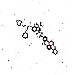 O=C(NS(=O)(=O)c1ccc(N[C@H](CCN2CCOCC2)CSc2ccccc2)c(Cl)c1S(=O)(=O)C(F)F)c1ccc(N2CCN(CC3=C(c4ccc(Cl)cc4)CCCC3)CC2)cc1